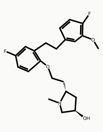 COc1cc(CCc2cc(F)ccc2OCC[C@@H]2C[C@@H](O)CN2C)ccc1F